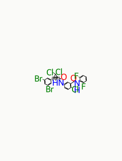 O=C(Nc1c(F)cccc1F)c1cc(NC(=O)[C@H]2[C@H](c3cc(Br)cc(Br)c3)C2(Cl)Cl)ccc1Cl